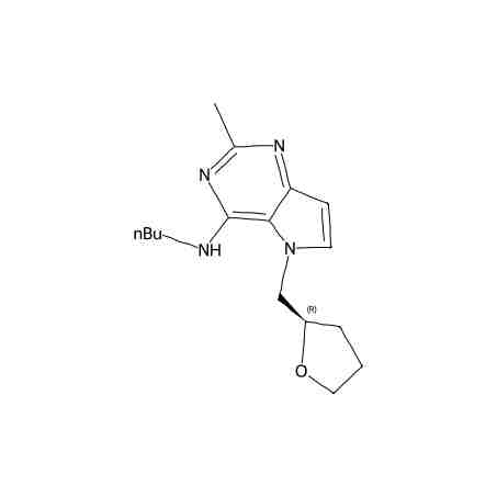 CCCCNc1nc(C)nc2ccn(C[C@H]3CCCO3)c12